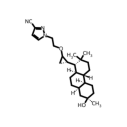 CC1(C)CC[C@H]2[C@@H](CC[C@@H]3C[C@](C)(O)CC[C@@H]32)[C@@H]1[C@@H]1CC1OCCn1ccc(C#N)n1